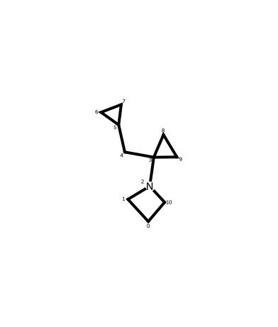 C1CN(C2(CC3CC3)CC2)C1